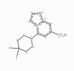 O=C(O)c1cc(N2CCC(F)(F)CC2)n2ccnc2c1